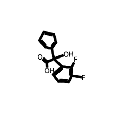 O=C(O)C(O)(c1ccccc1)c1cccc(F)c1F